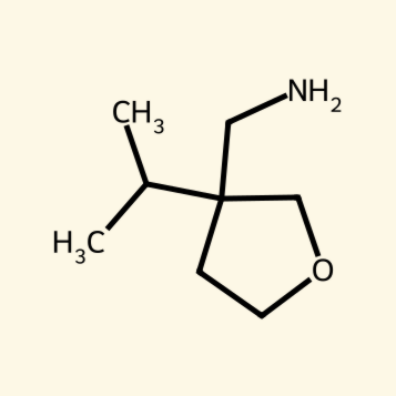 CC(C)C1(CN)CCOC1